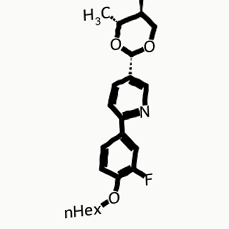 CCCCCCCCCC[C@H]1CO[C@H](c2ccc(-c3ccc(OCCCCCC)c(F)c3)nc2)O[C@@H]1C